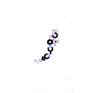 Cn1c(=O)n(C2CCC(=O)NC2=O)c2cccc(N3CCC(CN4CCC5(CC4)CC(N)C5)CC3)c21